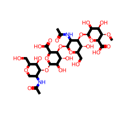 CO[C@@H]1C(C(=O)O)O[C@@H](O[C@@H]2C(NC(C)=O)[C@H](O[C@@H]3C(C(=O)O)O[C@@H](O[C@@H]4C(NC(C)=O)COC(CO)[C@H]4O)C(O)[C@H]3O)OC(CO)[C@H]2O)C(O)[C@H]1O